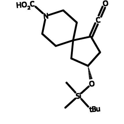 CC(C)(C)[Si](C)(C)O[C@H]1CC(=C=O)C2(CCN(C(=O)O)CC2)C1